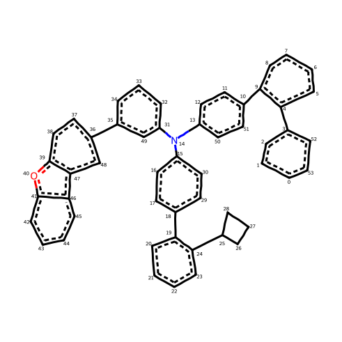 c1ccc(-c2ccccc2-c2ccc(N(c3ccc(-c4ccccc4C4CCC4)cc3)c3cccc(-c4ccc5oc6ccccc6c5c4)c3)cc2)cc1